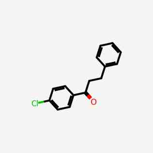 O=C(CCc1ccccc1)c1ccc(Cl)cc1